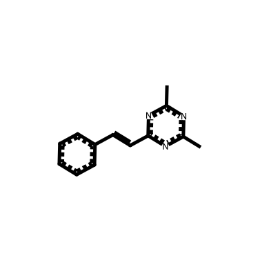 Cc1nc(C)nc(C=Cc2ccccc2)n1